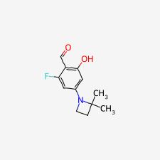 CC1(C)CCN1c1cc(O)c(C=O)c(F)c1